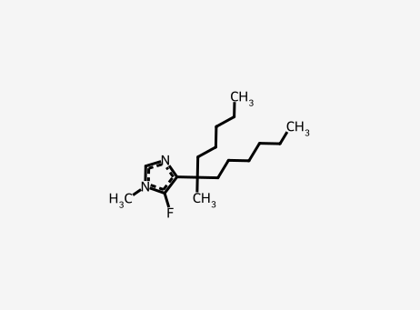 CCCCCCC(C)(CCCCC)c1ncn(C)c1F